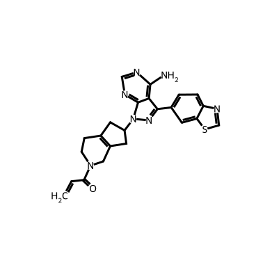 C=CC(=O)N1CCC2=C(CC(n3nc(-c4ccc5ncsc5c4)c4c(N)ncnc43)C2)C1